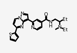 CCC(CNC(=O)c1ccnc(-c2cnn3ccc(-c4cccs4)nc23)c1)N(C)CC